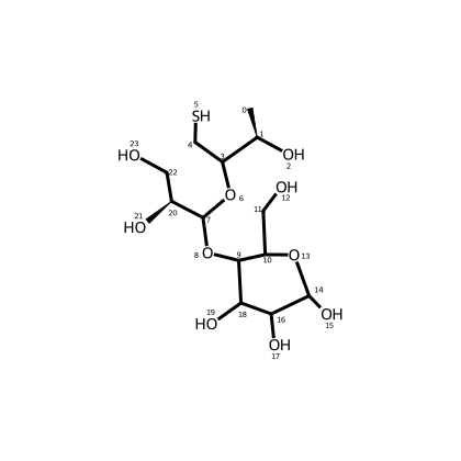 C[C@@H](O)C(CS)OC(OC1C(CO)OC(O)C(O)C1O)[C@@H](O)CO